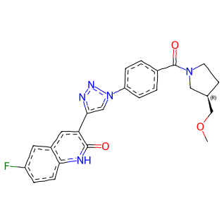 COC[C@@H]1CCN(C(=O)c2ccc(-n3cc(-c4cc5cc(F)ccc5[nH]c4=O)nn3)cc2)C1